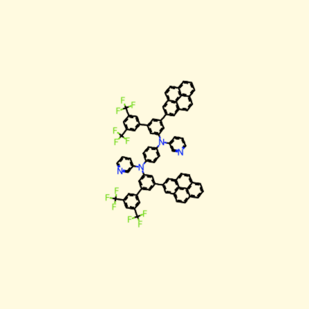 FC(F)(F)c1cc(-c2cc(-c3cc4ccc5cccc6ccc(c3)c4c56)cc(N(c3ccc(N(c4cccnc4)c4cc(-c5cc(C(F)(F)F)cc(C(F)(F)F)c5)cc(-c5cc6ccc7cccc8ccc(c5)c6c78)c4)cc3)c3cccnc3)c2)cc(C(F)(F)F)c1